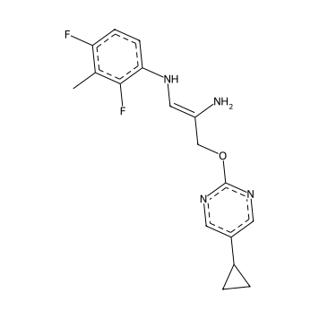 Cc1c(F)ccc(N/C=C(\N)COc2ncc(C3CC3)cn2)c1F